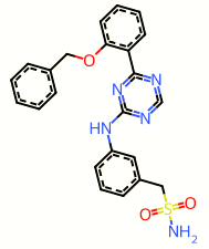 NS(=O)(=O)Cc1cccc(Nc2ncnc(-c3ccccc3OCc3ccccc3)n2)c1